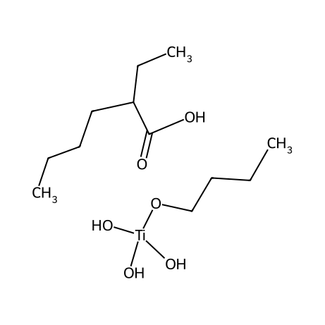 CCCCC(CC)C(=O)O.CCCC[O][Ti]([OH])([OH])[OH]